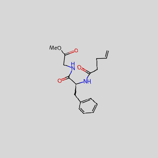 C=CCCC(=O)N[C@@H](Cc1ccccc1)C(=O)NCC(=O)OC